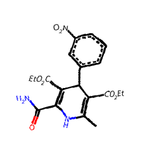 CCOC(=O)C1=C(C)NC(C(N)=O)=C(C(=O)OCC)C1c1cccc([N+](=O)[O-])c1